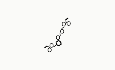 C=CC(=O)OCCOCCOc1cccc(COC(=O)C=C)c1